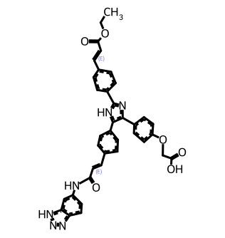 CCOC(=O)/C=C/c1ccc(-c2nc(-c3ccc(OCC(=O)O)cc3)c(-c3ccc(/C=C/C(=O)Nc4ccc5nn[nH]c5c4)cc3)[nH]2)cc1